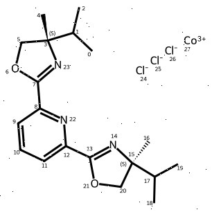 CC(C)[C@@]1(C)COC(c2cccc(C3=N[C@@](C)(C(C)C)CO3)n2)=N1.[Cl-].[Cl-].[Cl-].[Co+3]